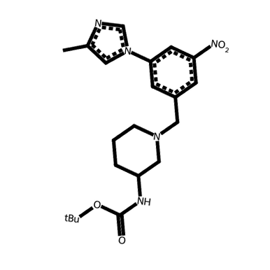 Cc1cn(-c2cc(CN3CCCC(NC(=O)OC(C)(C)C)C3)cc([N+](=O)[O-])c2)cn1